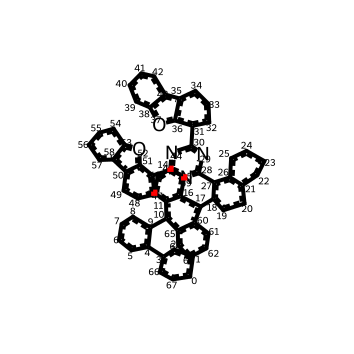 c1ccc(-c2ccccc2-c2c3ccccc3c(-c3ccc4ccccc4c3-c3nc(-c4cccc5c4oc4ccccc45)nc(-c4cccc5c4oc4ccccc45)n3)c3ccccc23)cc1